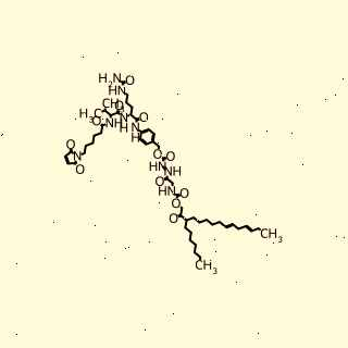 CCC=CCC=CCCCCCC(CCCCCCC)C(=O)COC(=O)NCC(=O)NNC(=O)OCc1ccc(NC(=O)C(CCCNC(N)=O)NC(=O)C(NC(=O)CCCCCN2C(=O)C=CC2=O)C(C)C)cc1